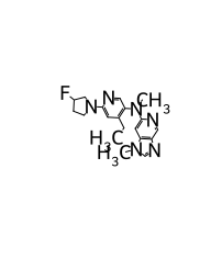 CCc1cc(N2CCC(F)C2)ncc1N(C)c1cc2c(cn1)ncn2C